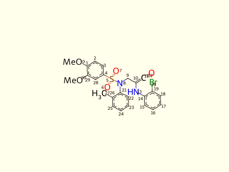 COc1ccc(S(=O)(=O)N(CC(=C=O)Nc2ccccc2Br)c2ccccc2C)cc1OC